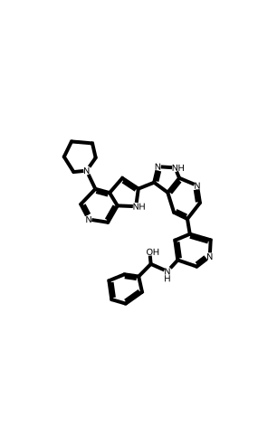 OC(Nc1cncc(-c2cnc3[nH]nc(-c4cc5c(N6CCCCC6)cncc5[nH]4)c3c2)c1)c1ccccc1